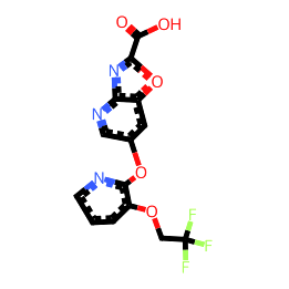 O=C(O)c1nc2ncc(Oc3ncccc3OCC(F)(F)F)cc2o1